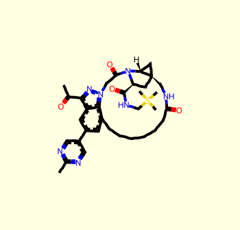 CC(=O)c1nn2c3c(cc(-c4cnc(C)nc4)cc13)CCCCCCC(=O)NC[C@@]13C[C@@H](C(=O)NCS(C)(C)C)N(C(=O)C2)[C@@H]1C3